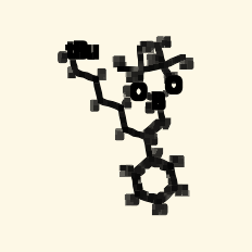 CC(C)(C)CCCCC/C(=C\B1OC(C)(C)C(C)(C)O1)c1ccccc1